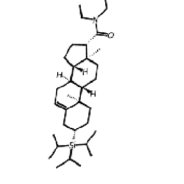 CCN(CC)C(=O)[C@H]1CC[C@H]2[C@@H]3CC=C4C[C@@H]([Si](C(C)C)(C(C)C)C(C)C)CC[C@]4(C)[C@H]3CC[C@]12C